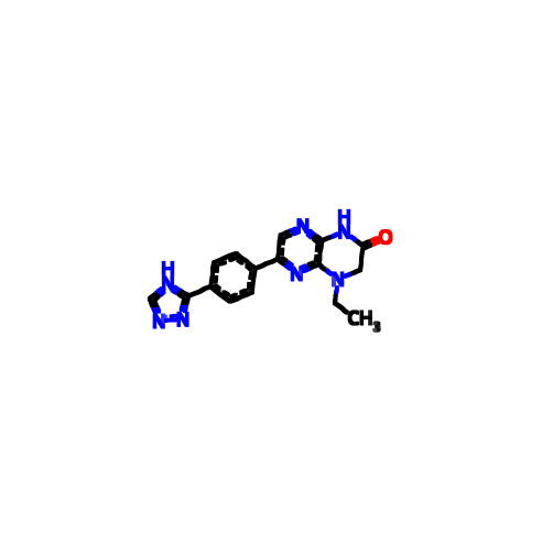 CCN1CC(=O)Nc2ncc(-c3ccc(-c4nnc[nH]4)cc3)nc21